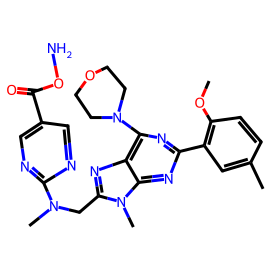 COc1ccc(C)cc1-c1nc(N2CCOCC2)c2nc(CN(C)c3ncc(C(=O)ON)cn3)n(C)c2n1